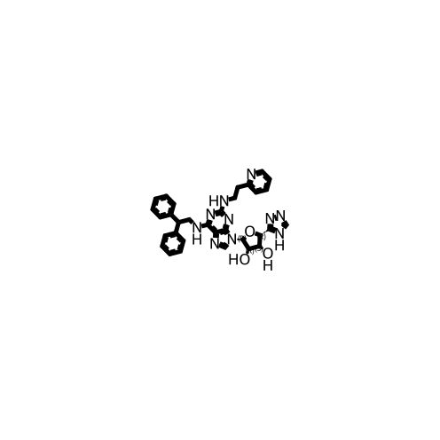 O[C@@H]1[C@H](O)[C@@H](c2nnc[nH]2)O[C@H]1n1cnc2c(NCC(c3ccccc3)c3ccccc3)nc(NCCc3ccccn3)nc21